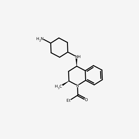 CCC(=O)N1c2ccccc2[C@H](NC2CCC(N)CC2)C[C@@H]1C